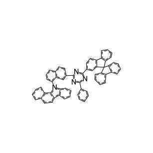 c1ccc(-c2nc(-c3ccc4c(c3)C3(c5ccccc5-c5ccccc53)c3ccccc3-4)nc(-c3ccc4cccc(-n5c6ccccc6c6ccc7ccccc7c65)c4c3)n2)cc1